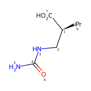 CC(C)[C@@H](CNC(N)=O)C(=O)O